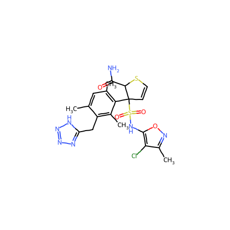 Cc1cc(C)c(C2(S(=O)(=O)Nc3onc(C)c3Cl)C=CSC2C(N)=O)c(C)c1Cc1nnn[nH]1